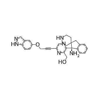 N[C@]1(c2ncc(C#CCOc3ccc4[nH]ncc4c3)nc2CO)c2ccccc2CC12CCNCC2